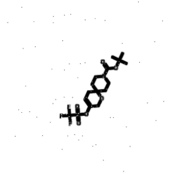 CC(C)(C)OC(=O)N1CCC2(CC=C(OS(=O)(=O)C(F)(F)F)CO2)CC1